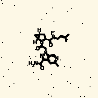 CC(C)=CCN(F)C(=O)[C@@H]1C[C@H]2C[C@H]2N1C(=O)Cn1nc(C(N)=O)c2cc(C)ncc21